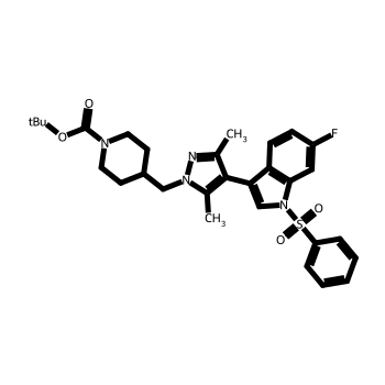 Cc1nn(CC2CCN(C(=O)OC(C)(C)C)CC2)c(C)c1-c1cn(S(=O)(=O)c2ccccc2)c2cc(F)ccc12